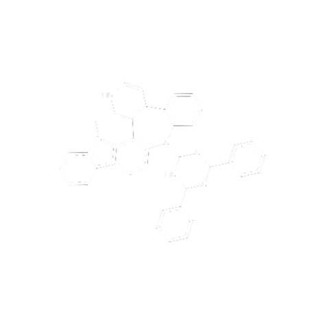 Cn1c2ccccc2c2ccc3c(c21)C1=C(C=CNC1)C1C=CC=CC1N3C1NC(c2ccccc2)NC(c2ccccc2)N1